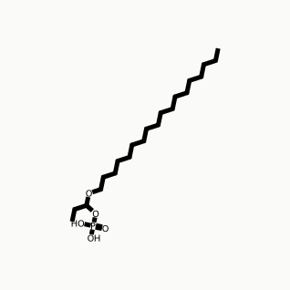 CCCCCCCCCCCCCCCCCCOC(CC)OP(=O)(O)O